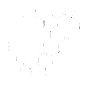 CCC(C)(C)Nc1cc(NC(=O)c2cc(C(=O)C(C)(C)CON=O)c(C)cc2C(=O)ON)cc(C(=O)ON)c1